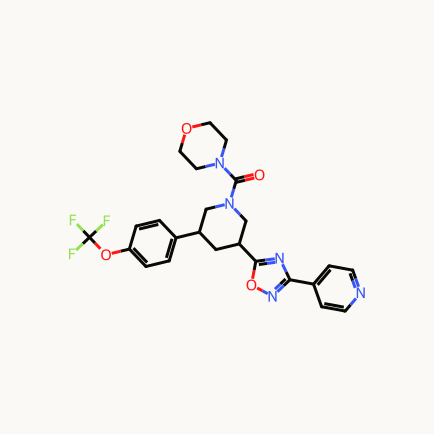 O=C(N1CCOCC1)N1CC(c2ccc(OC(F)(F)F)cc2)CC(c2nc(-c3ccncc3)no2)C1